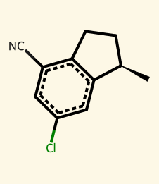 C[C@@H]1CCc2c(C#N)cc(Cl)cc21